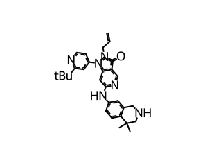 C=CCn1c(=O)c2cnc(Nc3ccc4c(c3)CNCC4(C)C)cc2n1-c1ccnc(C(C)(C)C)c1